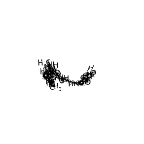 CNC(=O)c1nnc(NC(=O)CNC(=O)CCCCCCCNc2ccc3c(c2)C(=O)N(C2CCC(=O)NC2=O)C3=O)cc1Nc1cccc(-c2ncn(C)n2)c1OC